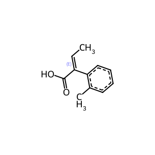 C/C=C(/C(=O)O)c1ccccc1C